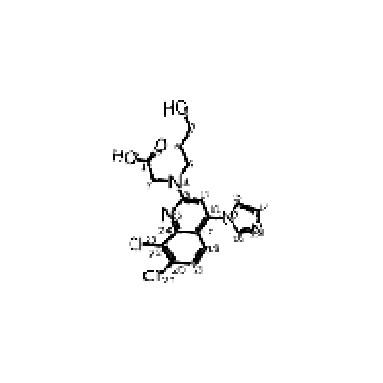 O=C(O)CN(CCCO)c1cc(-n2ccnc2)c2ccc(Cl)c(Cl)c2n1